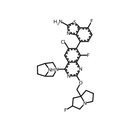 Nc1nc2c(-c3c(Cl)cc4c(N5CC6CCC(C5)N6)nc(OCC56CCCN5CC(F)C6)nc4c3F)ccc(F)c2s1